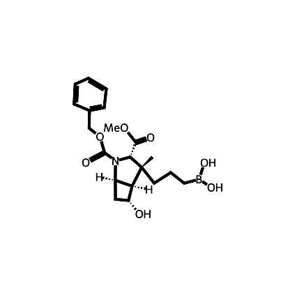 COC(=O)[C@H]1N(C(=O)OCc2ccccc2)[C@@H]2C[C@@H](O)[C@@H]2[C@@]1(C)CCCB(O)O